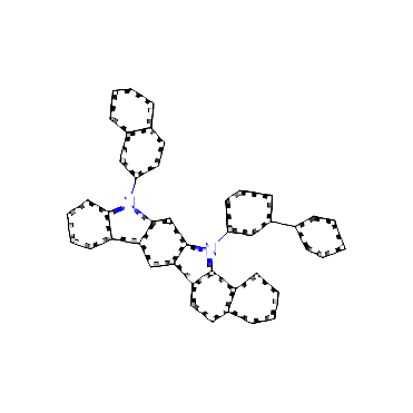 c1ccc(-c2cccc(-n3c4cc5c(cc4c4ccc6ccccc6c43)c3ccccc3n5-c3ccc4ccccc4c3)c2)cc1